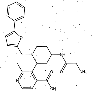 Cc1nccc(C(=O)O)c1C1CC(NC(=O)CN)CCN1Cc1ccc(-c2ccccc2)o1